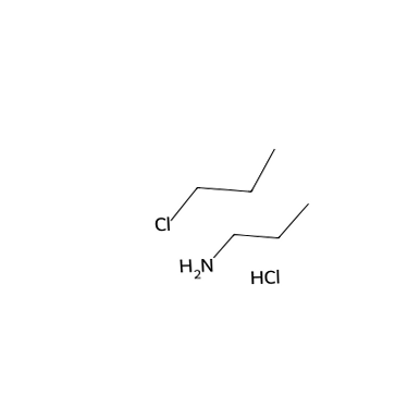 CCCCl.CCCN.Cl